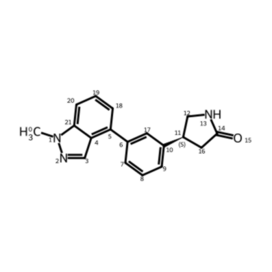 Cn1ncc2c(-c3cccc([C@H]4CNC(=O)C4)c3)cccc21